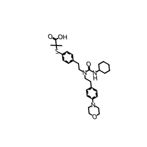 CC(C)(Sc1ccc(CCN(CCc2ccc(N3CCOCC3)cc2)C(=O)NC2CCCCC2)cc1)C(=O)O